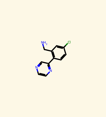 NCc1cc(Cl)ccc1-c1cnccn1